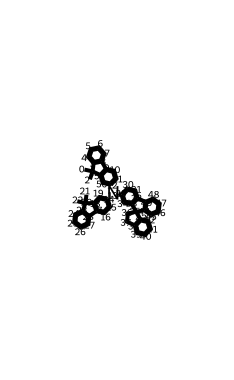 CC1(C)c2ccccc2-c2ccc(N(c3ccc4c(c3)C(C)(C)c3ccccc3-4)c3ccc4c(c3)C3(CCc5ccccc53)c3ccccc3-4)cc21